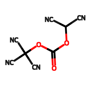 N#CC(C#N)OC(=O)OC(C#N)(C#N)C#N